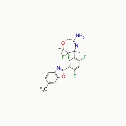 CC1(C)OCC(N)=NC(C)(c2cc(-c3nc4ccc(C(F)(F)F)cc4o3)c(F)cc2F)C1(F)F